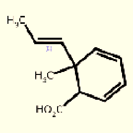 C/C=C/C1(C)C=CC=CC1C(=O)O